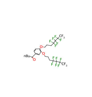 CCCCC(=O)c1ccc(OCCCC(F)(F)C(F)(F)C(F)(F)C(F)(F)F)c(OCCCC(F)(F)C(F)(F)C(F)(F)C(F)(F)F)c1